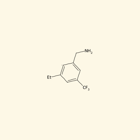 CCc1[c]c(CN)cc(C(F)(F)F)c1